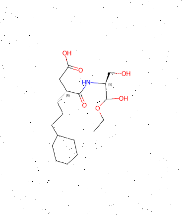 CCOC(O)[C@H](CO)NC(=O)[C@H](CCCC1CCCCC1)CC(=O)O